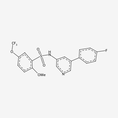 COc1ccc(OC(F)(F)F)cc1S(=O)(=O)Nc1cncc(-c2ccc(F)cc2)c1